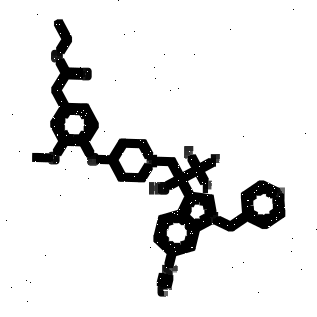 [C-]#[N+]c1ccc2c(C(O)(CN3CCC(Oc4ccc(CC(=O)OCC)cc4OC)CC3)C(F)(F)F)cn(Cc3ccncc3)c2c1